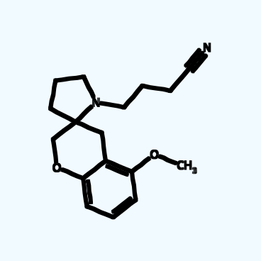 COc1cccc2c1CC1(CCCN1CCCC#N)CO2